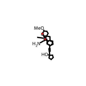 COC1CCC2(CC1)Cc1ccc(C#CC3(O)CCCC3)cc1C21N=C(N)N(C)C1=O